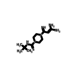 CC(C)(C)NC(=S)N1CCN(C(=N)C=C(N)N)CC1